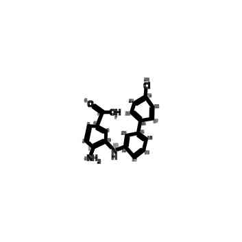 Nc1ccc(C(=O)O)cc1Nc1cccc(-c2ccc(Cl)cc2)c1